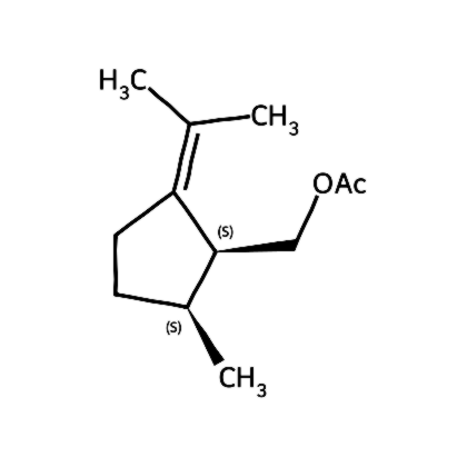 CC(=O)OC[C@@H]1C(=C(C)C)CC[C@@H]1C